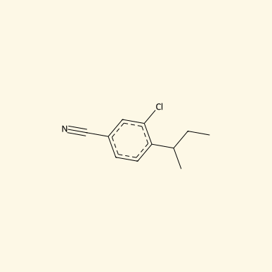 CCC(C)c1ccc(C#N)cc1Cl